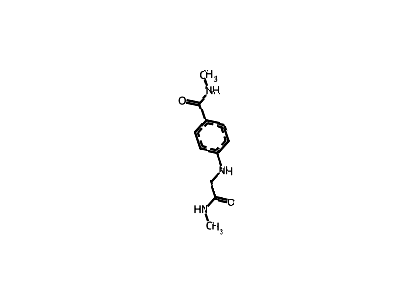 CNC(=O)CNc1ccc(C(=O)NC)cc1